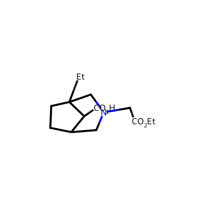 CCOC(=O)CN1CC2CCC(CC)(C1)C2C(=O)O